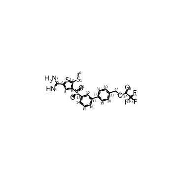 CSc1sc(C(=N)N)cc1S(=O)(=O)c1cccc(-c2ccc(COC(=O)C(F)(F)F)cc2)c1